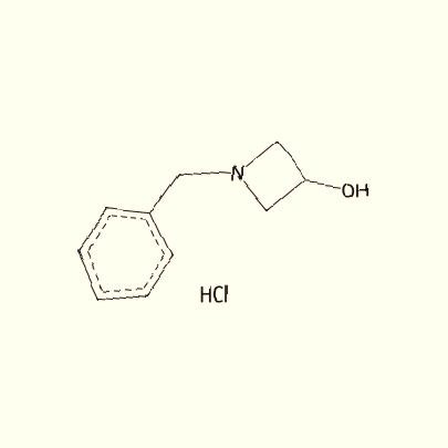 Cl.OC1CN(Cc2ccccc2)C1